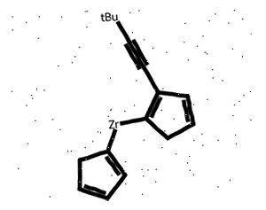 CC(C)(C)C#CC1=[C]([Zr][C]2=CC=CC2)CC=C1